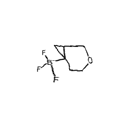 F[B-](F)(F)C12CCOCC1C2